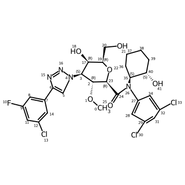 CO[C@@H]1[C@@H](n2cc(-c3cc(F)cc(Cl)c3)nn2)[C@@H](O)[C@@H](CO)O[C@H]1C(=O)N(c1cc(Cl)cc(Cl)c1)[C@H]1CCCC[C@@H]1O